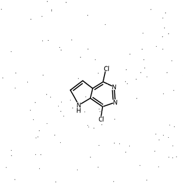 Clc1nnc(Cl)c2[nH]ccc12